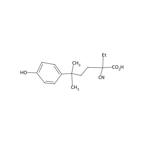 CCC(C#N)(CCC(C)(C)c1ccc(O)cc1)C(=O)O